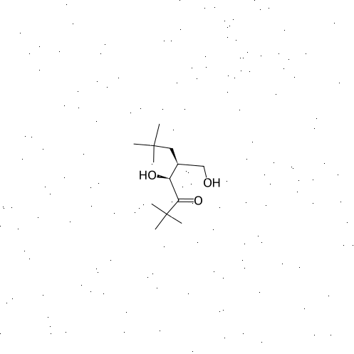 CC(C)(C)C[C@@H](CO)[C@H](O)C(=O)C(C)(C)C